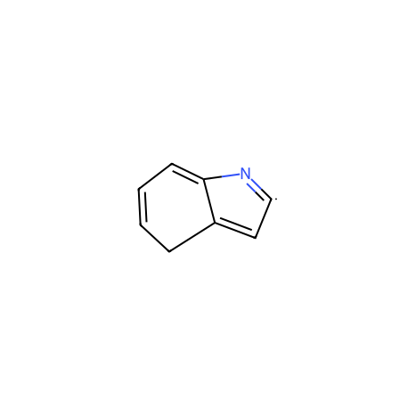 [C]1=NC2=CC=CCC2=C1